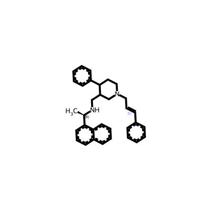 C[C@@H](NCC1CN(C/C=C/c2ccccc2)CCC1c1ccccc1)c1cccc2ccccc12